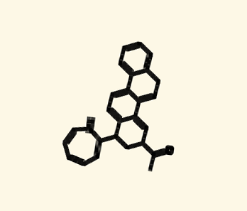 CC(=O)C1C=c2c(ccc3c2=CCc2ccccc2-3)C(C2=CC=CC=CN2)C1